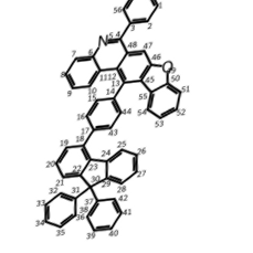 c1ccc(-c2nc3ccccc3c3c(-c4ccc(-c5cccc6c5-c5ccccc5C6(c5ccccc5)c5ccccc5)cc4)c4c(cc23)oc2ccccc24)cc1